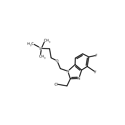 C[Si](C)(C)CCOCn1c(CCl)nc2c(F)c(F)ccc21